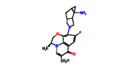 C[C@H]1COc2c(N3CC4CC5CC5(N)C4C3)c(F)cc3c(=O)c(C(=O)O)cn1c23